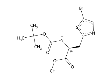 COC(=O)[C@H](Cc1ncc(Br)s1)NC(=O)OC(C)(C)C